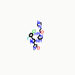 CN1CCN(CCC(=O)Nc2cc(Nc3cc(-c4cc(Cl)ccc4F)nnc3C3CC(=O)N(C)C3)ccn2)CC1